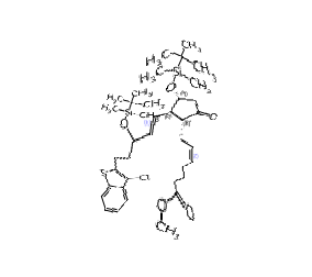 COC(=O)CCC/C=C\C[C@H]1C(=O)C[C@@H](O[Si](C)(C)C(C)(C)C)[C@@H]1/C=C/C(CCc1sc2ccccc2c1Cl)O[Si](C)(C)C(C)(C)C